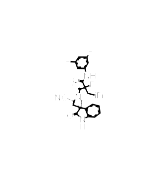 CC(C)CC(F)(C(=O)Nc1cc(F)cc(F)c1)C(=O)N1C[C@]2(C[C@H]1C#N)C(=O)Nc1ccccc12